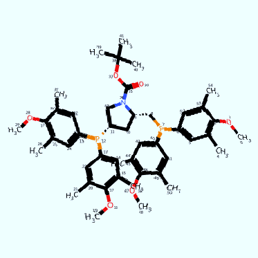 COc1c(C)cc(P(C[C@@H]2C[C@H](P(c3cc(C)c(OC)c(C)c3)c3cc(C)c(OC)c(C)c3)CN2C(=O)OC(C)(C)C)c2cc(C)c(OC)c(C)c2)cc1C